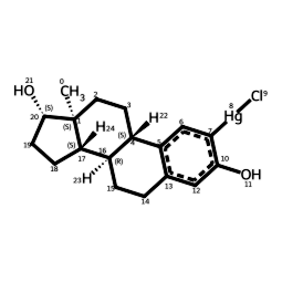 C[C@]12CC[C@@H]3c4c[c]([Hg][Cl])c(O)cc4CC[C@H]3[C@@H]1CC[C@@H]2O